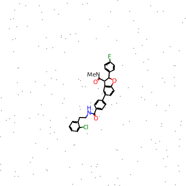 CNC(=O)C1c2cc(-c3ccc(C(=O)NCCc4ccccc4Cl)cc3)ccc2OC1c1ccc(F)cc1